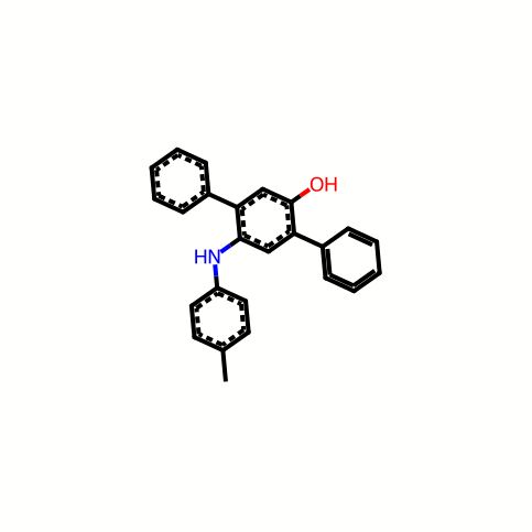 Cc1ccc(Nc2cc(C3=C=C=CC=C3)c(O)cc2-c2ccccc2)cc1